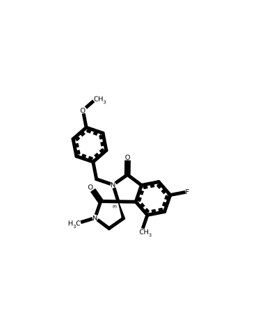 COc1ccc(CN2C(=O)c3cc(F)cc(C)c3[C@@]23CCN(C)C3=O)cc1